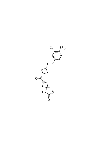 Cc1ccc(CO[C@H]2C[C@@H](C(=O)N3CC4(COC(=O)N4)C3)C2)cc1Cl